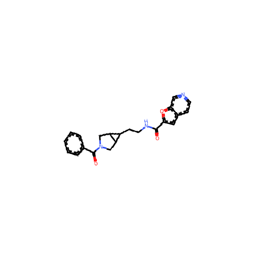 O=C(NCCC1C2CN(C(=O)c3ccccc3)CC12)c1cc2ccncc2o1